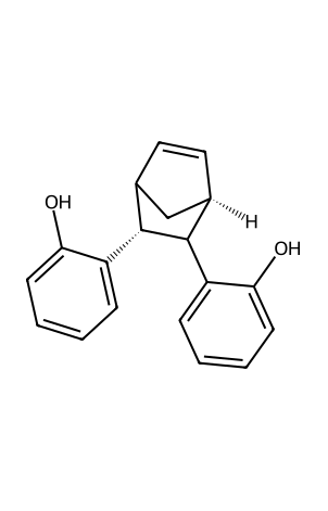 Oc1ccccc1C1[C@H](c2ccccc2O)C2C=C[C@@H]1C2